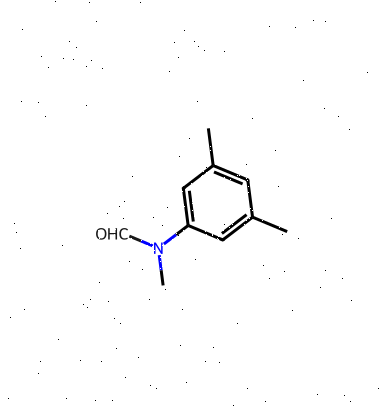 Cc1cc(C)cc(N(C)C=O)c1